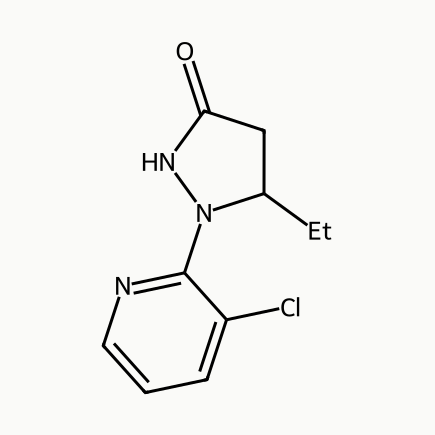 [CH2]CC1CC(=O)NN1c1ncccc1Cl